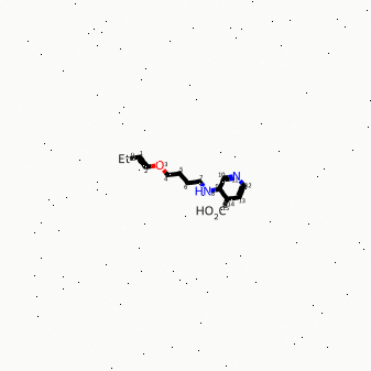 CC/C=C/OCCCCNC1C=NC=CC1C(=O)O